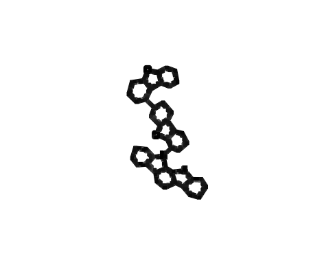 c1ccc2c(c1)oc1cccc(-c3ccc4c(c3)oc3c(-n5c6ccccc6c6ccc7c8ccccc8sc7c65)cccc34)c12